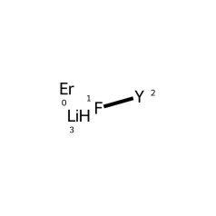 [Er].[F][Y].[LiH]